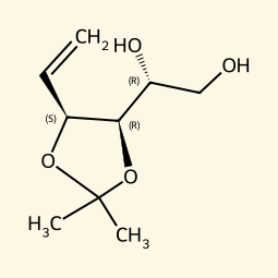 C=C[C@@H]1OC(C)(C)O[C@@H]1[C@H](O)CO